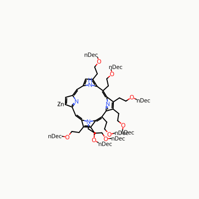 CCCCCCCCCCOCCC1=C(CCOCCCCCCCCCC)c2nc1c(CCOCCCCCCCCCC)c1[nH]c(cc3nc(cc4c(CCOCCCCCCCCCC)c(CCOCCCCCCCCCC)c(c2CCOCCCCCCCCCC)n4CCOCCCCCCCCCC)C=C3)cc1CCOCCCCCCCCCC.[Zn]